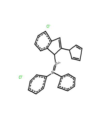 C1=CC(C2=Cc3ccccc3[CH]2[Zr+2]=[Si](c2ccccc2)c2ccccc2)C=C1.[Cl-].[Cl-]